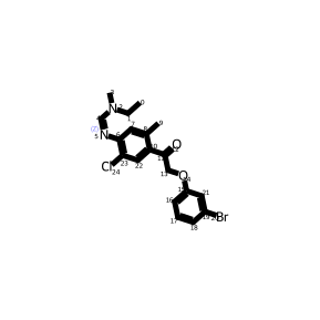 CCN(C)/C=N\c1cc(C)c(C(=O)COc2cccc(Br)c2)cc1Cl